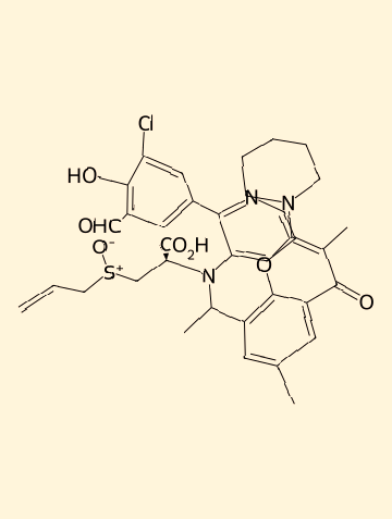 C=CC[S+]([O-])C[C@@H](C(=O)O)N(c1cccnc1-c1cc(Cl)c(O)c(C=O)c1)C(C)c1cc(C)cc2c(=O)c(C)c(N3CCCCC3)oc12